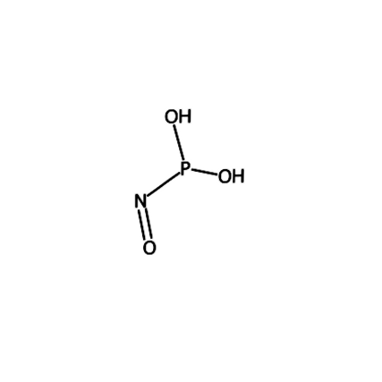 O=NP(O)O